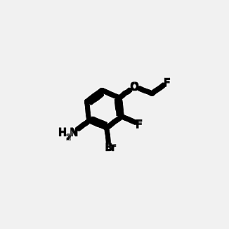 Nc1ccc(OCF)c(F)c1Br